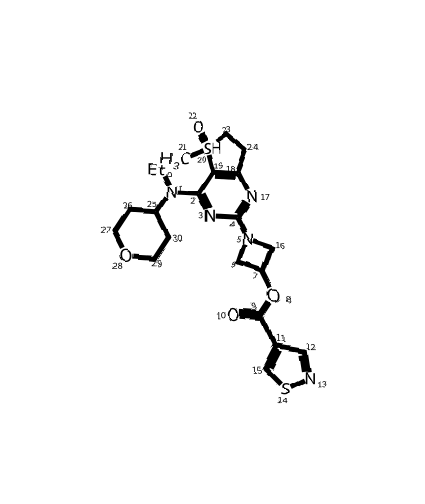 CCN(c1nc(N2CC(OC(=O)c3cnsc3)C2)nc2c1[SH](C)(=O)CC2)C1CCOCC1